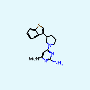 CNc1cc(N2CCCC(c3csc4ccccc34)C2)nc(N)n1